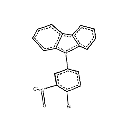 O=[N+]([O-])c1cc(-n2c3ccccc3c3ccccc32)ccc1Br